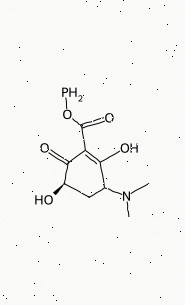 CN(C)C1C[C@@H](O)C(=O)C(C(=O)OP)=C1O